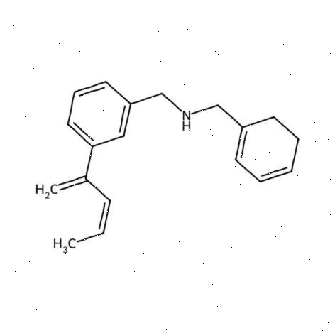 C=C(/C=C\C)c1cccc(CNCC2=CC=CCC2)c1